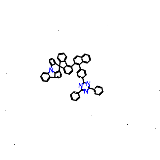 c1ccc(-c2nc(-c3ccccc3)nc(-c3ccc(-c4c(-c5cccc6c5-c5ccccc5C65c6ccccc6-n6c7ccccc7c7cccc5c76)ccc5ccccc45)cc3)n2)cc1